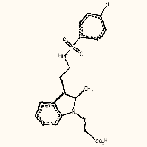 CC1C(CCNS(=O)(=O)c2ccc(Cl)cc2)c2ccccc2N1CCC(=O)O